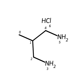 CC(CN)CN.Cl